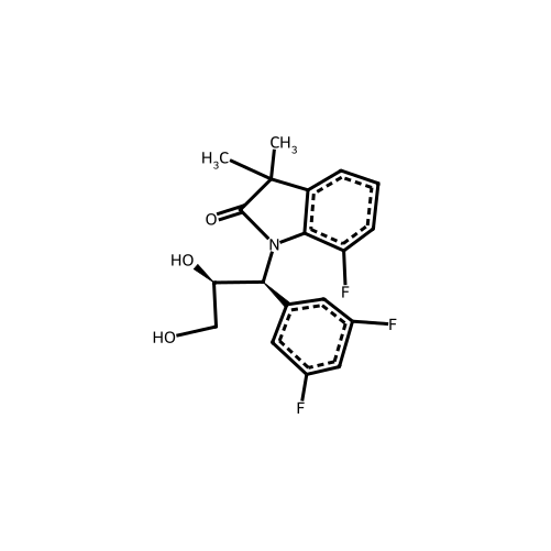 CC1(C)C(=O)N([C@@H](c2cc(F)cc(F)c2)[C@H](O)CO)c2c(F)cccc21